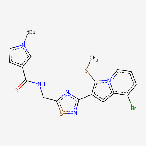 CC(C)(C)n1ccc(C(=O)NCc2nc(-c3cc4c(Br)cccn4c3SC(F)(F)F)ns2)c1